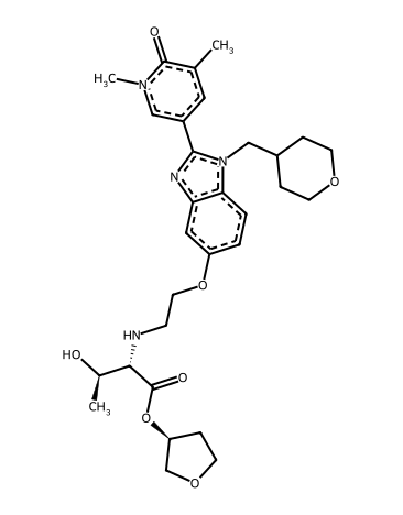 Cc1cc(-c2nc3cc(OCCN[C@H](C(=O)O[C@H]4CCOC4)[C@@H](C)O)ccc3n2CC2CCOCC2)cn(C)c1=O